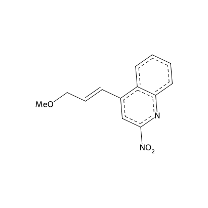 COCC=Cc1cc([N+](=O)[O-])nc2ccccc12